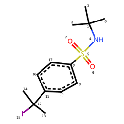 CC(C)(C)NS(=O)(=O)c1ccc(C(C)(C)I)cc1